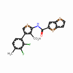 Cc1ccc(-c2csc(NC(=O)c3cc4sccc4s3)c2C(=O)O)c(F)c1F